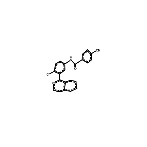 N#Cc1ccc(C(=O)Nc2ccc(Cl)c(-c3nccc4ccccc34)c2)cc1